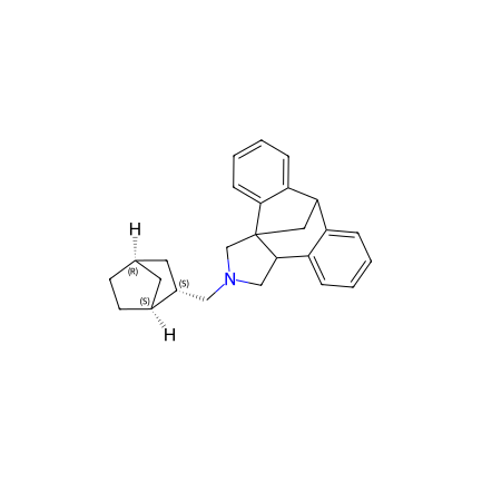 c1ccc2c(c1)C1CC3(CN(C[C@H]4C[C@@H]5CC[C@H]4C5)CC23)c2ccccc21